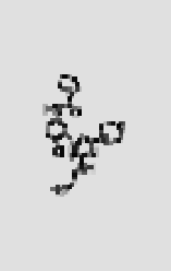 Cc1ccc(NC(=O)N2CCCC2)cc1-c1cc(NCCO)nc(N2CCOCC2)c1